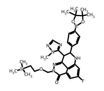 Cn1ncnc1C1c2nn(COCC[Si](C)(C)C)c(=O)c3cc(F)cc(c23)NC1c1ccc(B2OC(C)(C)C(C)(C)O2)cc1